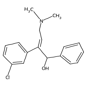 CN(C)C/C=C(\c1cccc(Cl)c1)C(O)c1ccccc1